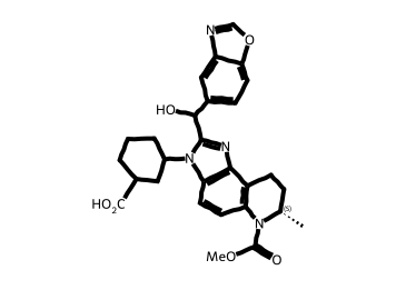 COC(=O)N1c2ccc3c(nc(C(O)c4ccc5ocnc5c4)n3C3CCCC(C(=O)O)C3)c2CC[C@@H]1C